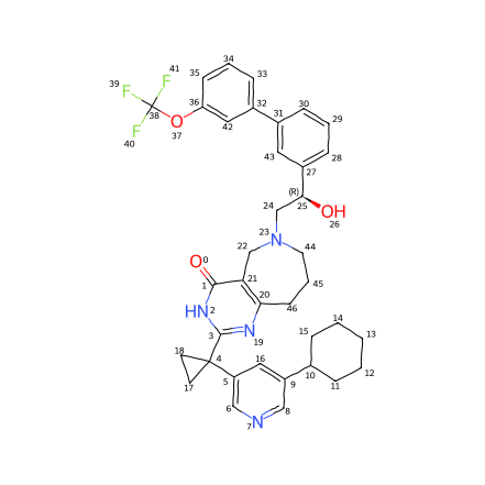 O=c1[nH]c(C2(c3cncc(C4CCCCC4)c3)CC2)nc2c1CN(C[C@H](O)c1cccc(-c3cccc(OC(F)(F)F)c3)c1)CCC2